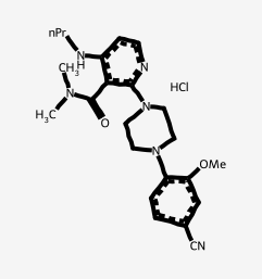 CCCNc1ccnc(N2CCN(c3ccc(C#N)cc3OC)CC2)c1C(=O)N(C)C.Cl